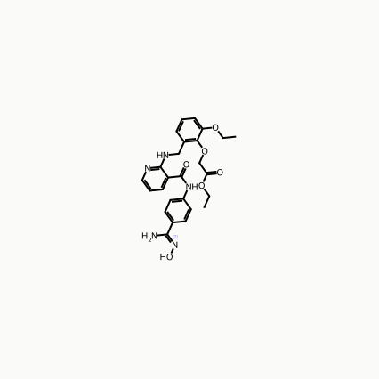 CCOC(=O)COc1c(CNc2ncccc2C(=O)Nc2ccc(/C(N)=N/O)cc2)cccc1OCC